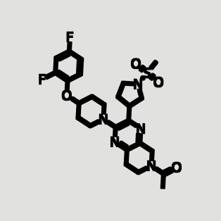 CC(=O)N1CCc2nc(N3CCC(Oc4ccc(F)cc4F)CC3)c(C3CCN(S(C)(=O)=O)C3)nc2C1